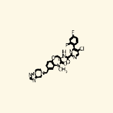 CN1C(=O)[C@@H](NC(=O)c2ncc(Cl)c(-c3ccc(F)cc3F)n2)COc2ccc(CN3CCn4ncnc4C3)cc21